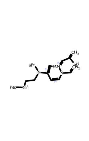 C=CN(/C=C\C(=C/CC)N(CCC)CCNC(C)(C)C)/N=C\C(=C)S